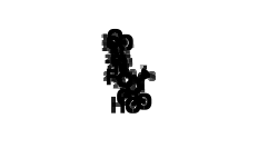 O=C(O)c1cn(C2CC2)c2cc(N3CCN(C4CCOC4=O)CC3)c(F)cc2c1=O